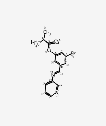 CC(C)C(=O)Oc1cc(Br)cc(C=Nc2cccnc2)c1